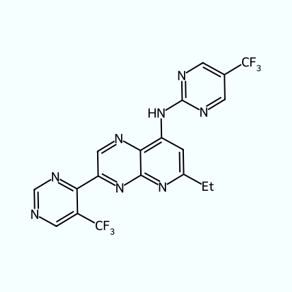 CCc1cc(Nc2ncc(C(F)(F)F)cn2)c2ncc(-c3ncncc3C(F)(F)F)nc2n1